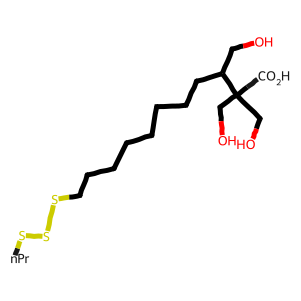 CCCSSSCCCCCCCCC(CO)C(CO)(CO)C(=O)O